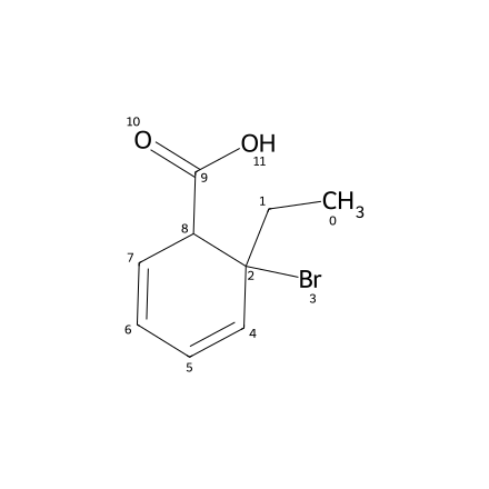 CCC1(Br)C=CC=CC1C(=O)O